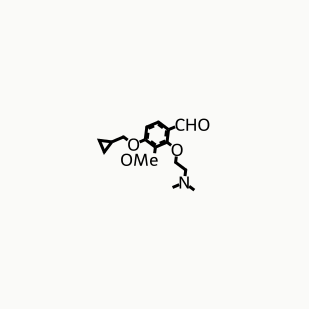 COc1c(OCC2CC2)ccc(C=O)c1OCCN(C)C